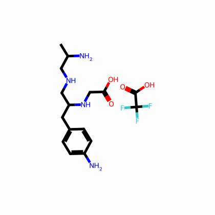 CC(N)CNCC(Cc1ccc(N)cc1)NCC(=O)O.O=C(O)C(F)(F)F